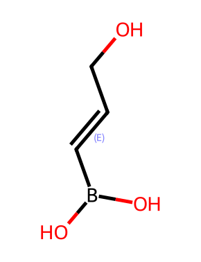 OC/C=C/B(O)O